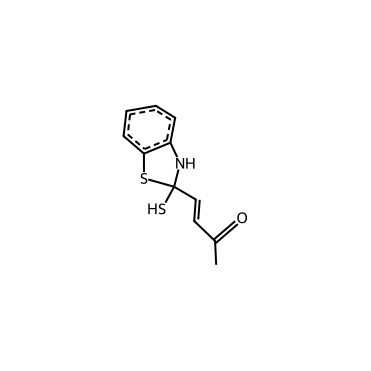 CC(=O)/C=C/C1(S)Nc2ccccc2S1